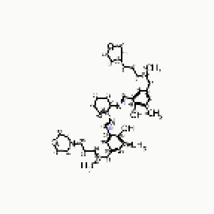 Cc1cc(CN(C)CCCN2CCOCC2)cc(/C=N/[C@@H]2CCCC[C@H]2/N=C/c2cc(CN(C)CCCN3CCOCC3)cc(C)c2O)c1O